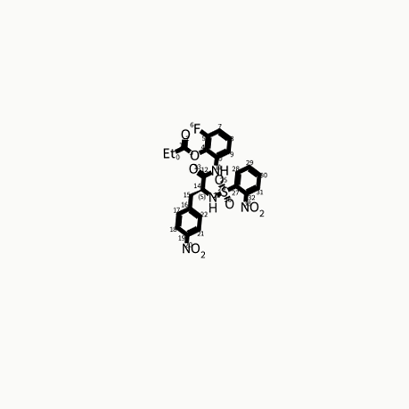 CCC(=O)Oc1c(F)cccc1NC(=O)[C@H](Cc1ccc([N+](=O)[O-])cc1)NS(=O)(=O)c1ccccc1[N+](=O)[O-]